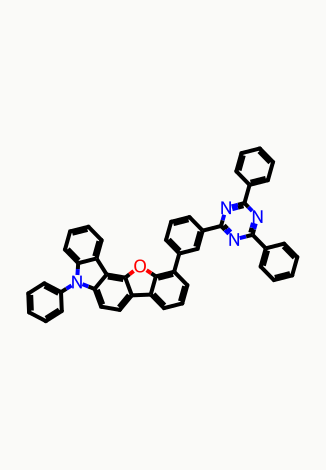 c1ccc(-c2nc(-c3ccccc3)nc(-c3cccc(-c4cccc5c4oc4c5ccc5c4c4ccccc4n5-c4ccccc4)c3)n2)cc1